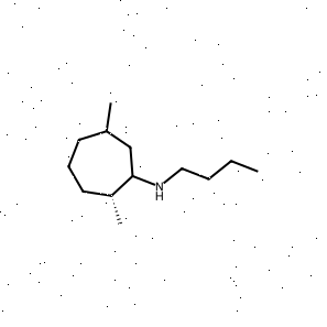 CCCCNC1CC(C)CCC[C@H]1C